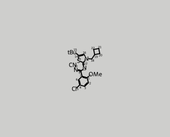 COc1ccc(Cl)cc1C(=NC#N)N=c1sc(C(C)(C)C)cn1CC1CCC1